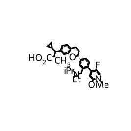 CCN(Cc1cc([C@H]2CCc3ccc(C(C4CC4)[C@H](C)C(=O)O)cc3O2)ccc1-c1cc(OC)ncc1F)C(C)C